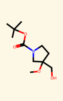 COC1(CO)CCN(C(=O)OC(C)(C)C)C1